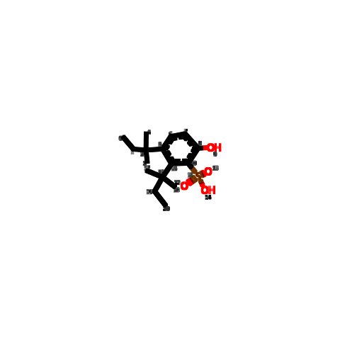 CCC(C)(C)c1ccc(O)c(S(=O)(=O)O)c1C(C)(C)CC